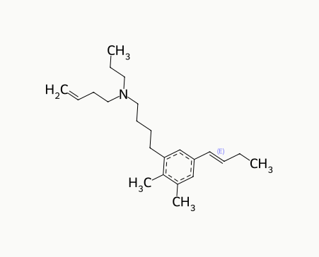 C=CCCN(CCC)CCCCc1cc(/C=C/CC)cc(C)c1C